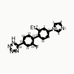 CCc1cc(-n2ccnc2)ccc1-c1ccc(-c2nnn[nH]2)cc1F